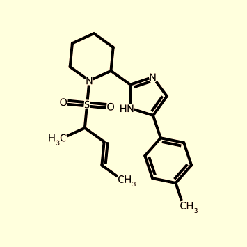 C/C=C/C(C)S(=O)(=O)N1CCCCC1c1ncc(-c2ccc(C)cc2)[nH]1